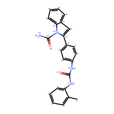 Cc1ccccc1NC(=O)Nc1ccc(-c2cc3ccccc3n2C(N)=O)cc1